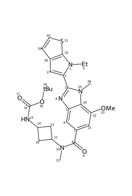 CCn1c(-c2nc3cc(C(=O)N(C)C4CC(NC(=O)OC(C)(C)C)C4)cc(OC)c3n2C)cc2ccsc21